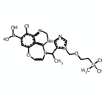 CC(c1cncn1COCC[Si](C)(C)C)N1C=COc2cc(B(O)O)c(Cl)c3c2=C1NCN=3